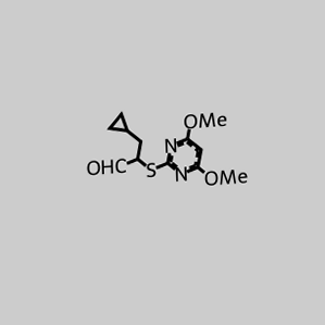 COc1cc(OC)nc(SC(C=O)CC2CC2)n1